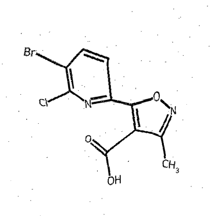 Cc1noc(-c2ccc(Br)c(Cl)n2)c1C(=O)O